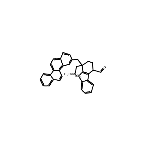 CN(C)CC1(Cc2ccc3ccc4c5ccccc5ccc4c3c2)CCC(C=O)c2c1[nH]c1ccccc21